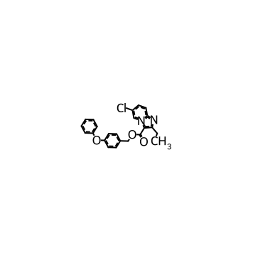 CCc1nc2ccc(Cl)cn2c1C(=O)OCc1ccc(Oc2ccccc2)cc1